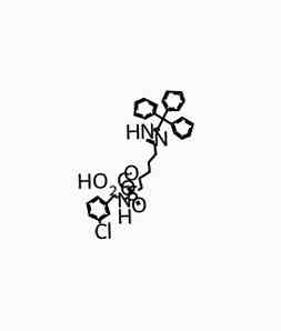 O=C(O)OC(CCCc1c[nH]c(C(c2ccccc2)(c2ccccc2)c2ccccc2)n1)CS(=O)(=O)NCc1cccc(Cl)c1